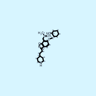 CN(C)Cc1c(OC[C@H]2CCCC[C@@H]2O)ccc2c(CCC3CCNCC3)noc12